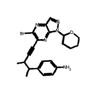 CC(C#Cc1nc2c(cnn2C2CCCCO2)nc1Br)C(C)c1ccc(N)cc1